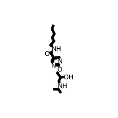 CCCCCCNC(=O)c1cnc(OCC(O)CNC(C)C)nc1